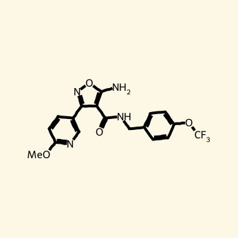 COc1ccc(-c2noc(N)c2C(=O)NCc2ccc(OC(F)(F)F)cc2)cn1